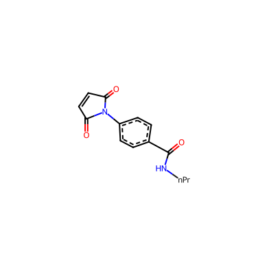 CCCNC(=O)c1ccc(N2C(=O)C=CC2=O)cc1